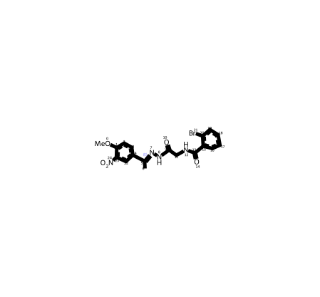 COc1ccc(/C(C)=N/NC(=O)CNC(=O)c2ccccc2Br)cc1[N+](=O)[O-]